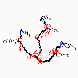 CCCCCCCCC(OC(=O)CCN1CC1C)C(O)CCCCCCCC(=O)OCC(COC(=O)CCCCCCCC(O)C(CCCCCCC)OC(=O)CCN1CC1C)OC(=O)CCCCCCCC1OC1CC(O)C(CCCCC)OC(=O)CCN1CC1C